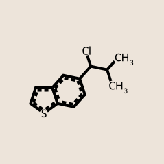 CC(C)C(Cl)c1ccc2sccc2c1